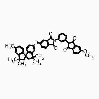 COc1ccc2c(c1)C(=O)C(c1cccc(N3C(=O)c4ccc(Oc5ccc6c(c5)C(C)(C)CC65CC(C)(C)c6cc(C)ccc65)cc4C3=O)c1)C2=O